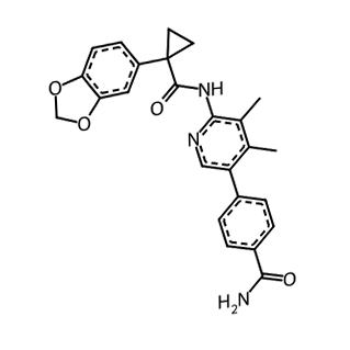 Cc1c(-c2ccc(C(N)=O)cc2)cnc(NC(=O)C2(c3ccc4c(c3)OCO4)CC2)c1C